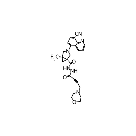 N#Cc1ccc(N2C[C@]3(C(=O)NNC(=O)C#CCN4CCOCC4)C[C@]3(C(F)(F)F)C2)c2cccnc12